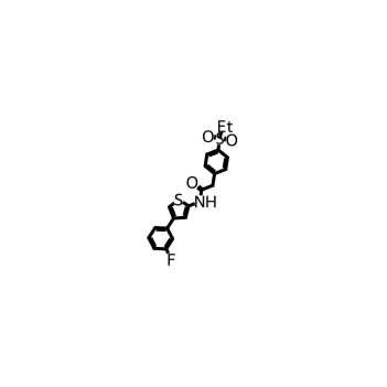 CCS(=O)(=O)c1ccc(CC(=O)Nc2cc(-c3cccc(F)c3)cs2)cc1